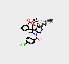 COc1ccc2c(c1)C(CC(=O)O)(c1ccccc1C(=O)OC(C)(C)C)C(C)N2C(=O)c1ccc(Cl)cc1